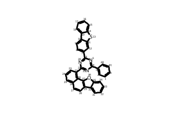 c1ccc(-c2nc(-c3ccc4c(c3)sc3ccccc34)nc(-c3cccc4ccc5c6ccccc6oc5c34)n2)cc1